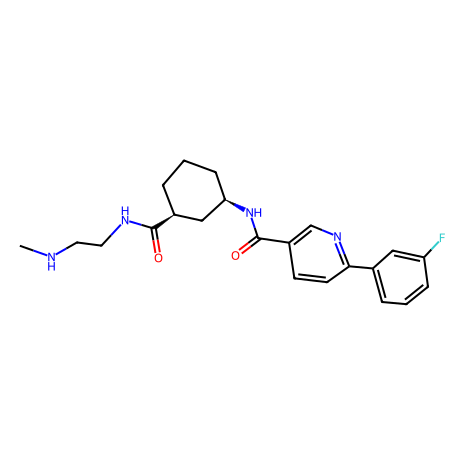 CNCCNC(=O)[C@H]1CCC[C@@H](NC(=O)c2ccc(-c3cccc(F)c3)nc2)C1